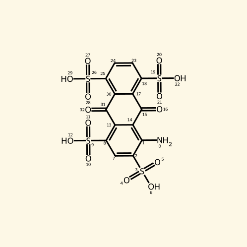 Nc1c(S(=O)(=O)O)cc(S(=O)(=O)O)c2c1C(=O)c1c(S(=O)(=O)O)ccc(S(=O)(=O)O)c1C2=O